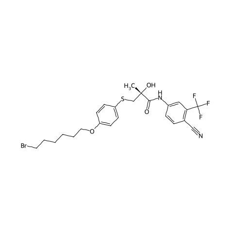 C[C@](O)(CSc1ccc(OCCCCCCBr)cc1)C(=O)Nc1ccc(C#N)c(C(F)(F)F)c1